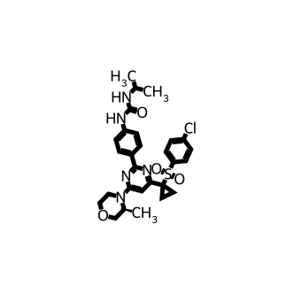 CC(C)NC(=O)Nc1ccc(-c2nc(N3CCOC[C@@H]3C)cc(C3(S(=O)(=O)c4ccc(Cl)cc4)CC3)n2)cc1